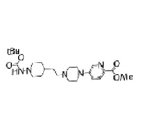 COC(=O)c1ccc(N2CCN(CCC3CCN(NC(=O)OC(C)(C)C)CC3)CC2)cn1